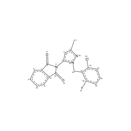 Cc1cc(N2C(=O)c3ccccc3C2=O)n(Cc2c(F)cccc2Cl)n1